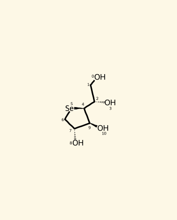 OC[C@H](O)[C@@H]1[Se]C[C@@H](O)[C@@H]1O